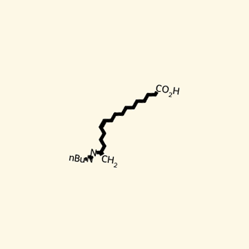 C=C(CCC/C=C\CCCCCCCCCC(=O)O)N=NCCCC